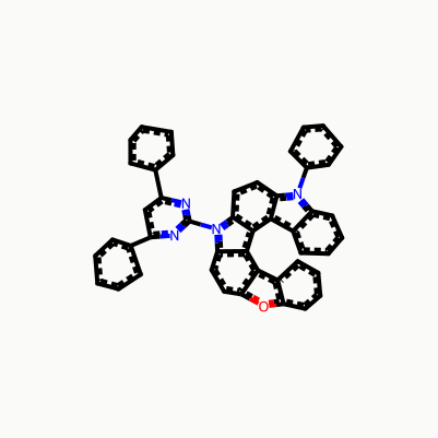 c1ccc(-c2cc(-c3ccccc3)nc(-n3c4ccc5oc6ccccc6c5c4c4c5c6ccccc6n(-c6ccccc6)c5ccc43)n2)cc1